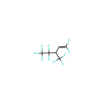 FC(F)=CC(C(F)(F)F)C(F)(F)C(F)(F)F